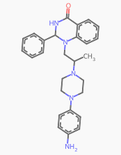 CC(CN1c2ccccc2C(=O)NC1c1ccccc1)N1CCN(c2ccc(N)cc2)CC1